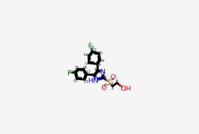 O=S(=O)(CCO)c1nc(-c2ccc(F)cc2)c(-c2ccc(F)cc2)[nH]1